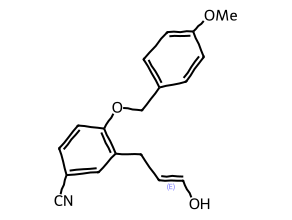 COc1ccc(COc2ccc(C#N)cc2C/C=C/O)cc1